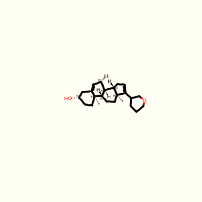 CC[C@H]1C=C2C[C@@H](O)CC[C@]2(C)[C@H]2CC[C@]3(C)C(C4CCCOC4)=CC[C@H]3[C@H]12